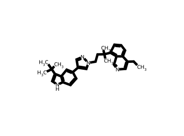 CCc1cncc2c(C(C)(C)CCn3cc(-c4ccc5[nH]cc(C(C)(C)C)c5c4)cn3)cccc12